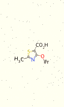 Cc1nc(OC(C)C)c(C(=O)O)s1